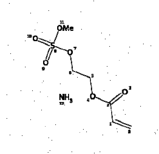 C=CC(=O)OCCOS(=O)(=O)OC.N